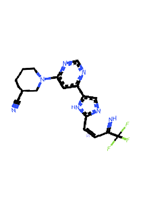 N#CC1CCCN(c2cc(-c3cnc(/C=C\C(=N)C(F)(F)F)[nH]3)ncn2)C1